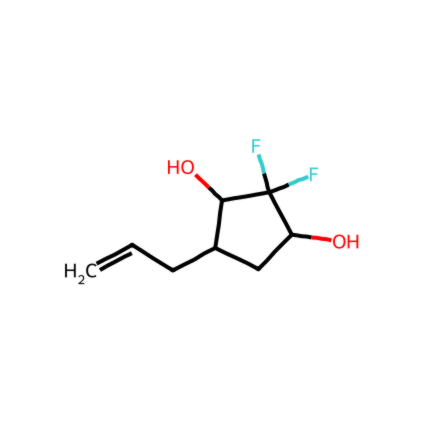 C=CCC1CC(O)C(F)(F)C1O